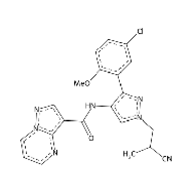 COc1ccc(Cl)cc1-c1nn(CC(C)C#N)cc1NC(=O)c1cnn2cccnc12